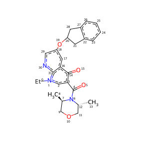 CCn1cc(C(=O)N2[C@H](C)COC[C@H]2C)c(=O)c2cc(OC3Cc4ccccc4C3)cnc21